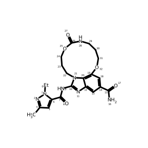 CCn1nc(C)cc1C(=O)Nc1nc2cc(C(N)=O)cc3c2n1CCCOC(=O)NCCCO3